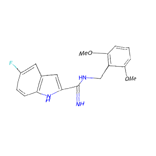 COc1cccc(OC)c1CNC(=N)c1cc2cc(F)ccc2[nH]1